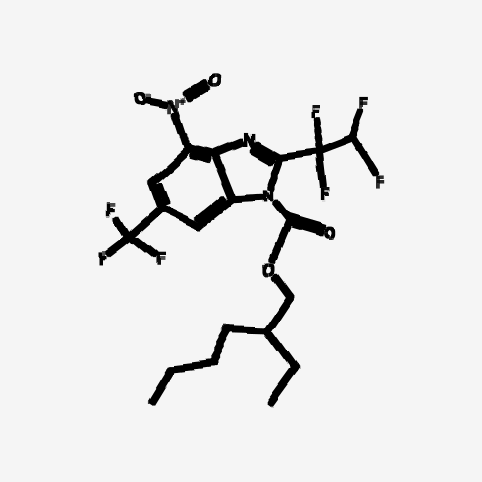 CCCCC(CC)COC(=O)n1c(C(F)(F)C(F)F)nc2c([N+](=O)[O-])cc(C(F)(F)F)cc21